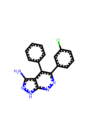 Nc1n[nH]c2nnc(-c3cccc(Cl)c3)c(-c3ccccc3)c12